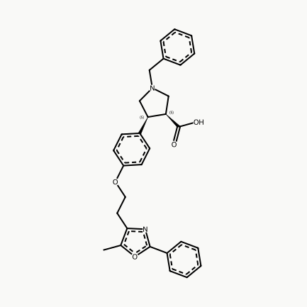 Cc1oc(-c2ccccc2)nc1CCOc1ccc([C@H]2CN(Cc3ccccc3)C[C@H]2C(=O)O)cc1